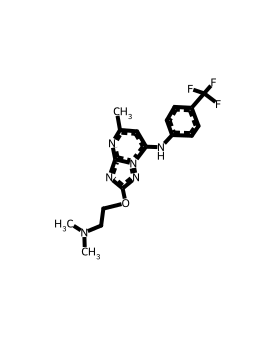 Cc1cc(Nc2ccc(C(F)(F)F)cc2)n2nc(OCCN(C)C)nc2n1